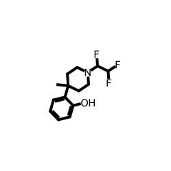 CC1(c2ccccc2O)CCN(C(F)C(F)F)CC1